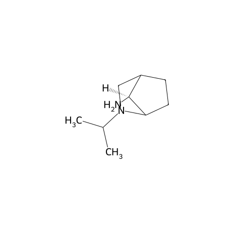 CC(C)N1CC2CCC1[C@H]2N